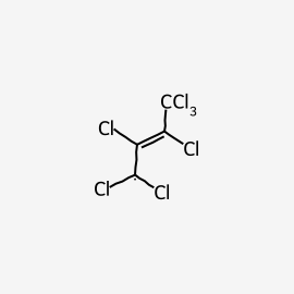 Cl[C](Cl)C(Cl)=C(Cl)C(Cl)(Cl)Cl